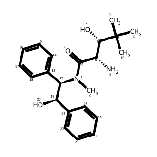 CN(C(=O)[C@@H](N)[C@H](O)C(C)(C)C)[C@H](c1ccccc1)[C@H](O)c1ccccc1